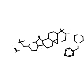 CC(=O)O[C@@H](C1C[C@@H](C)[C@H]2C(O1)C(=O)[C@@]1(C)C3CC[C@H]4C(C)(C)[C@@H](O[C@H]5CN(Cc6ccccc6)CCO5)CC[C@@]45CC35CC[C@]21C)C(C)(C)O